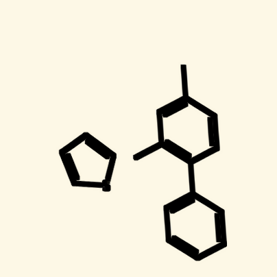 Cc1ccc(-c2ccccc2)c(C)c1.c1ccsc1